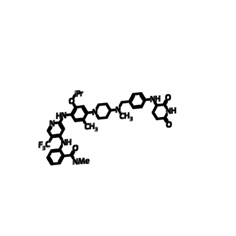 CNC(=O)c1ccccc1Nc1cc(Nc2cc(C)c(N3CCC(N(C)Cc4ccc(NC5CCC(=O)NC5=O)cc4)CC3)cc2OC(C)C)ncc1C(F)(F)F